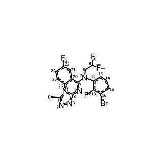 Cc1nnc2nc(N(CC(F)F)c3cccc(Br)c3F)c3cc(F)ccc3n12